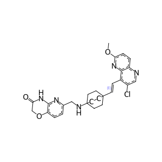 COc1ccc2ncc(Cl)c(/C=C/C34CCC(NCc5ccc6c(n5)NC(=O)CO6)(CC3)CC4)c2n1